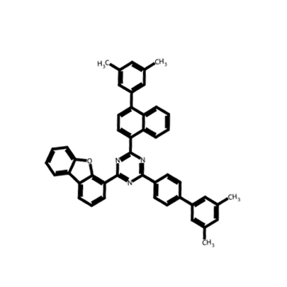 Cc1cc(C)cc(-c2ccc(-c3nc(-c4ccc(-c5cc(C)cc(C)c5)c5ccccc45)nc(-c4cccc5c4oc4ccccc45)n3)cc2)c1